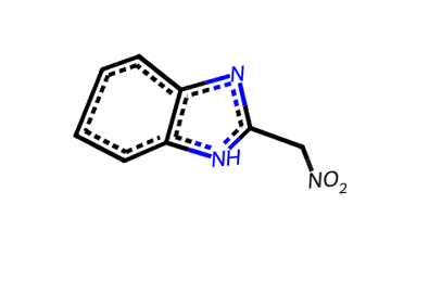 O=[N+]([O-])Cc1nc2ccccc2[nH]1